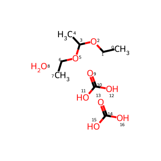 CCOC(C)OCC.O.O=C(O)O.O=C(O)O